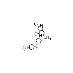 Cc1nc2cnc(Cl)cc2c(=O)n1-c1ccc(OC2CCN(C3CCC3)CC2)cc1